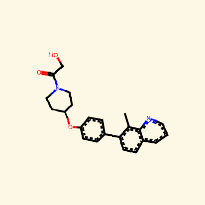 Cc1c(-c2ccc(OC3CCN(C(=O)CO)CC3)cc2)ccc2cccnc12